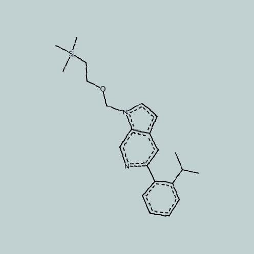 CC(C)c1ccccc1-c1cc2ccn(COCC[Si](C)(C)C)c2cn1